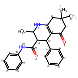 CC1NC2=C(C(=O)CC(C)(C)C2)C(c2ccccc2)C1C(=O)Nc1ccccc1